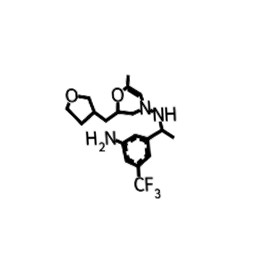 CC1=CN(NC(C)c2cc(N)cc(C(F)(F)F)c2)CC(CC2CCOC2)O1